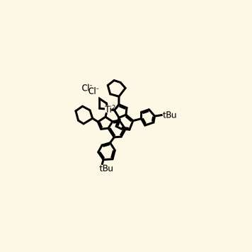 CC(C)(C)c1ccc(-c2cccc3c2C=C(C2CCCCC2)[CH]3[Ti+2]2([CH]3C(C4CCCCC4)=Cc4c(-c5ccc(C(C)(C)C)cc5)cccc43)[CH2]C[CH2]2)cc1.[Cl-].[Cl-]